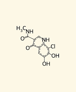 CNC(=O)c1c[nH]c2c(Cl)c(O)c(O)cc2c1=O